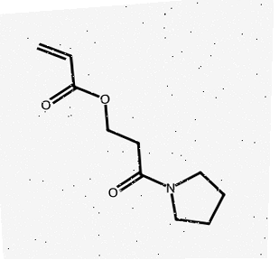 C=CC(=O)OCCC(=O)N1CCCC1